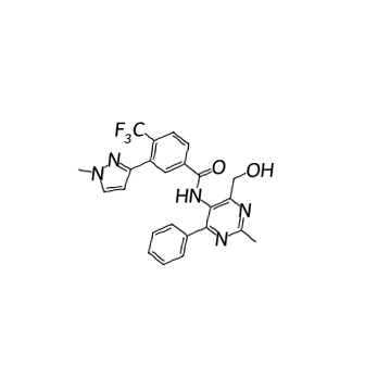 Cc1nc(CO)c(NC(=O)c2ccc(C(F)(F)F)c(-c3ccn(C)n3)c2)c(-c2ccccc2)n1